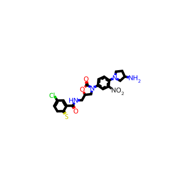 NC1CCN(c2ccc(N3CC(CNC(=O)C4=CC(Cl)=CCC4=S)OC3=O)cc2[N+](=O)[O-])C1